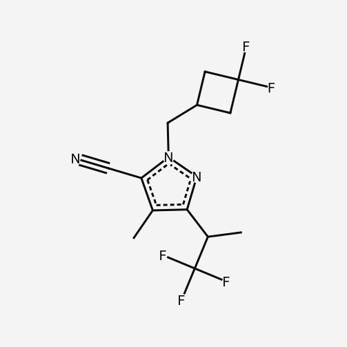 Cc1c(C(C)C(F)(F)F)nn(CC2CC(F)(F)C2)c1C#N